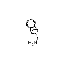 NCN1C2CC1c1ccccc12